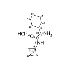 Cl.N[C@@H](C(=O)NC12CC(C1)C2)C1CCCCC1